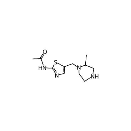 CC(=O)Nc1ncc(CN2CCNCC2C)s1